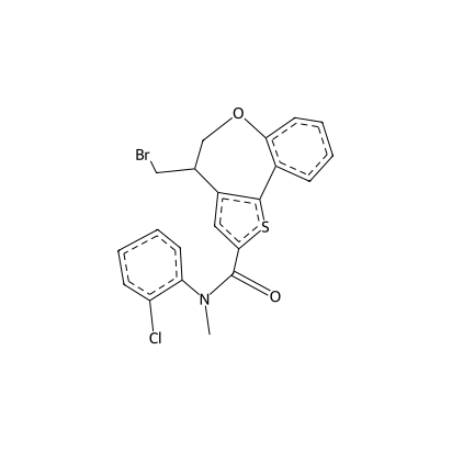 CN(C(=O)c1cc2c(s1)-c1ccccc1OCC2CBr)c1ccccc1Cl